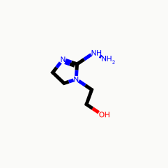 NNC1=NCCN1CCO